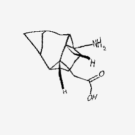 N[C@H]1C2CCC(C3CC32)[C@H]1C(=O)O